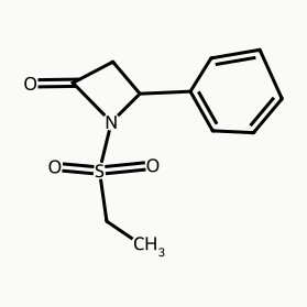 CCS(=O)(=O)N1C(=O)CC1c1ccccc1